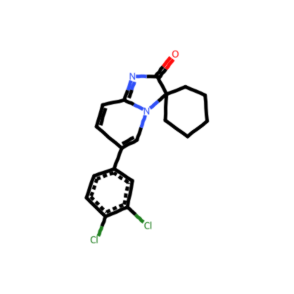 O=C1N=C2C=CC(c3ccc(Cl)c(Cl)c3)=CN2C12CCCCC2